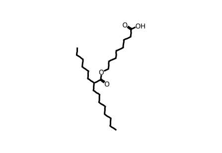 CCCCCCCCC(CCCCCC)C(=O)OCCCCCCCC(=O)O